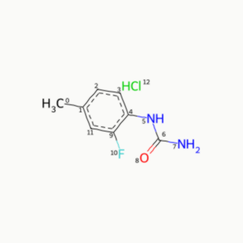 Cc1ccc(NC(N)=O)c(F)c1.Cl